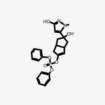 Cn1nc(O)cc1C1(O)CC2C=C(OP(=O)(Oc3ccccc3)Oc3ccccc3)CC2C1